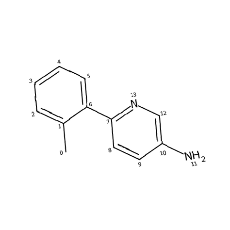 Cc1ccccc1-c1ccc(N)cn1